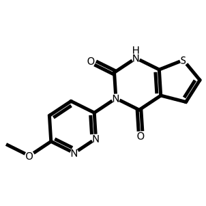 COc1ccc(-n2c(=O)[nH]c3sccc3c2=O)nn1